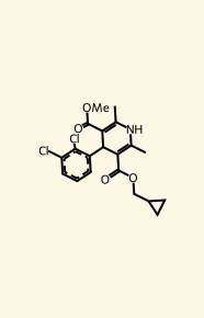 COC(=O)C1=C(C)NC(C)=C(C(=O)OCC2CC2)C1c1cccc(Cl)c1Cl